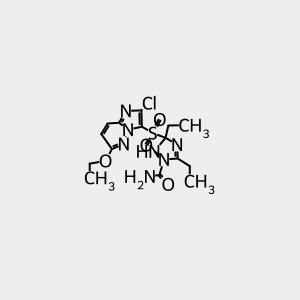 CCOc1ccc2nc(Cl)c(S(=O)(=O)C3(CC)N=C(CC)N(C(N)=O)N3)n2n1